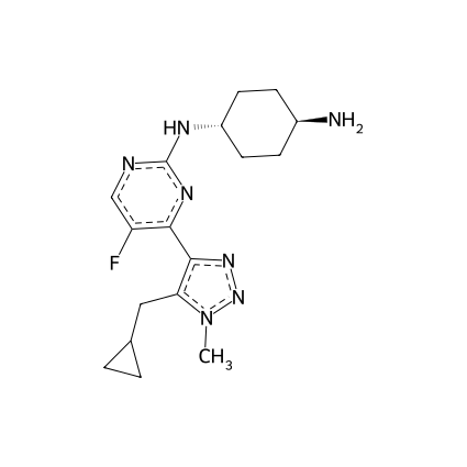 Cn1nnc(-c2nc(N[C@H]3CC[C@H](N)CC3)ncc2F)c1CC1CC1